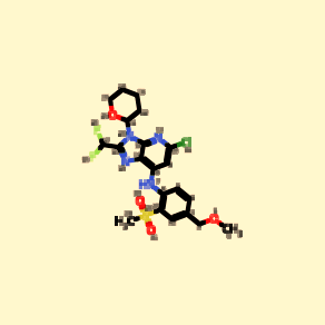 COCc1ccc(Nc2cc(Cl)nc3c2nc(C(F)F)n3C2CCCCO2)c(S(C)(=O)=O)c1